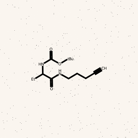 C#CCCCNC(=O)C(CC)NC(=O)OC(C)(C)C